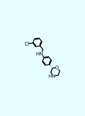 Clc1cccc(CNc2ccc([C@H]3CNCCO3)cc2)c1